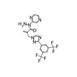 C=C(Cn1cnc(-c2cc(C(F)(F)F)cc(C(F)(F)F)c2)n1)C(=O)N(N)c1cnccn1